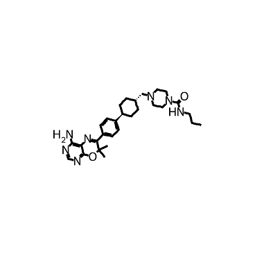 CCCNC(=O)N1CCN(C[C@H]2CC[C@H](c3ccc(C4=Nc5c(N)ncnc5OC4(C)C)cc3)CC2)CC1